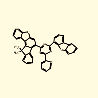 CC1(C)c2ccccc2-c2c(-c3nc(-c4ccccn4)nc(-c4cccc5c4sc4ccccc45)n3)cc3oc4ccccc4c3c21